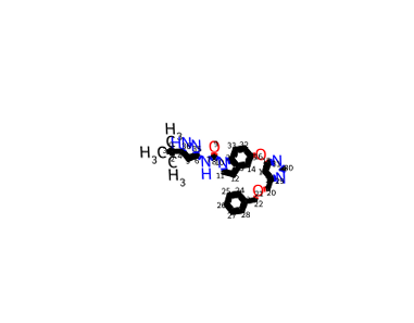 CC(C)(C)c1cc(NC(=O)n2ccc3cc(Oc4cc(COCc5ccccc5)ncn4)ccc32)n[nH]1